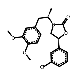 COc1ccc(C[C@@H](C)N2C[C@H](c3cccc(Cl)c3)OC2=O)cc1OC